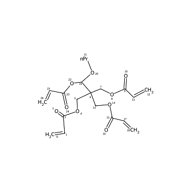 C=CC(=O)OCC(COC(=O)C=C)(COC(=O)C=C)C(OCCC)OC(=O)C=C